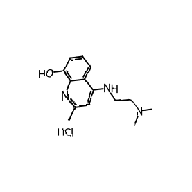 Cc1cc(NCCN(C)C)c2cccc(O)c2n1.Cl